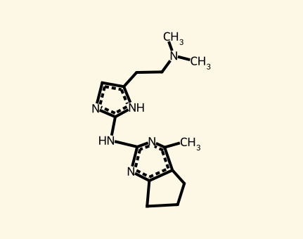 Cc1nc(Nc2ncc(CCN(C)C)[nH]2)nc2c1CCC2